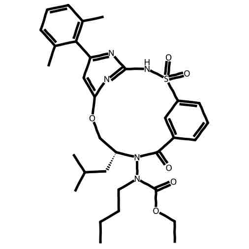 CCCCN(C(=O)OCC)N1C(=O)c2cccc(c2)S(=O)(=O)Nc2nc(cc(-c3c(C)cccc3C)n2)OC[C@H]1CC(C)C